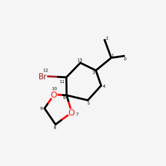 CC(C)C1CCC2(OCCO2)C(Br)C1